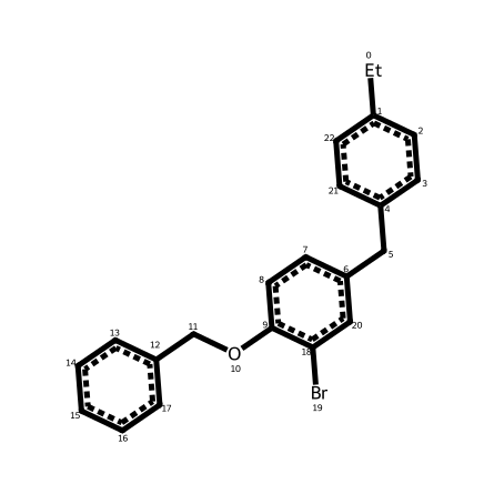 CCc1ccc(Cc2ccc(OCc3ccccc3)c(Br)c2)cc1